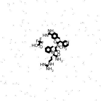 CN(C(=O)[C@H](Cc1ccc(C(=N)N)cc1)c1cccnc1)[C@@H](Cc1ccccc1)C(=O)N[C@@H](CCCNC(=N)N)C(N)=O.O=C(O)C(F)(F)F